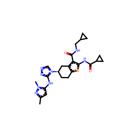 Cc1cc(Nc2nncn2[C@@H]2CCc3sc(NC(=O)C4CC4)c(C(=O)NCC4CC4)c3C2)n(C)n1